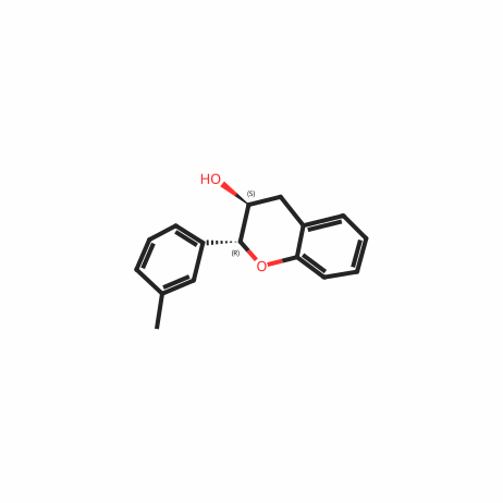 Cc1cccc([C@H]2Oc3ccccc3C[C@@H]2O)c1